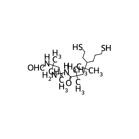 CC(C)(CC(C)(N)NC(=O)C(C)(C)CC(C)(C)C(CCS)CCCS)NC=O